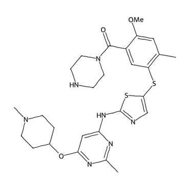 COc1cc(C)c(Sc2cnc(Nc3cc(OC4CCN(C)CC4)nc(C)n3)s2)cc1C(=O)N1CCNCC1